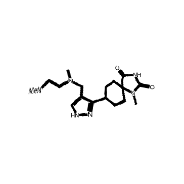 CNCCN(C)Cc1c[nH]nc1C1CCC2(CC1)C(=O)NC(=O)N2C